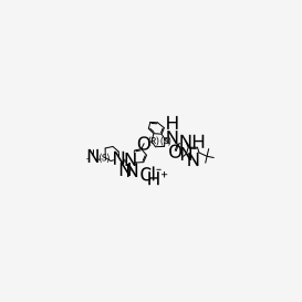 CN(C)C[C@@H]1CCCN(c2nnc3ccc(O[C@@H]4CC[C@H](NC(=O)Nc5cc(C(C)(C)C)nn5C)c5ccccc54)cn23)C1.[Cl-].[H+]